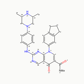 CNC(=O)c1cn(-c2ccc3c(c2)CCC3)c2nc(Nc3ccc(N4CC(C)NC(C)C4)cc3)ncc2c1=O